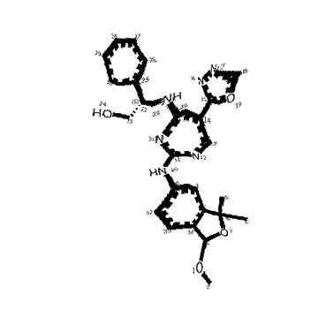 COC1OC(C)(C)c2cc(Nc3ncc(-c4nnco4)c(N[C@H](CO)c4ccccc4)n3)ccc21